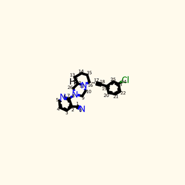 N#Cc1cccnc1N1CCN2[C@@H](CCC[C@@H]2C#Cc2cccc(Cl)c2)C1